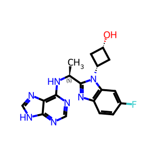 C[C@H](Nc1ncnc2[nH]cnc12)c1nc2ccc(F)cc2n1[C@H]1C[C@@H](O)C1